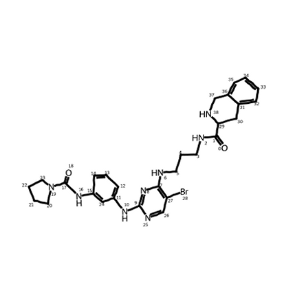 O=C(NCCCNc1nc(Nc2cccc(NC(=O)N3CCCC3)c2)ncc1Br)C1Cc2ccccc2CN1